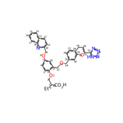 CCC(COc1ccc(OCc2ccc3ccccc3n2)cc1COCc1ccc2c(c1)OC(c1nnn[nH]1)=CC2)C(=O)O